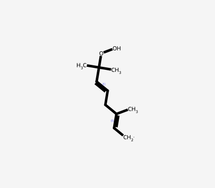 [CH2]/C=C(\C)C/C=C/C(C)(C)OO